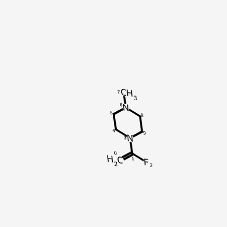 C=C(F)N1CCN(C)CC1